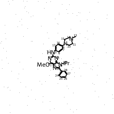 COc1nc(Nc2ccc(N3CCN(C)CC3)cc2)nc2c1nc(-c1ccccc1)n2C(C)C